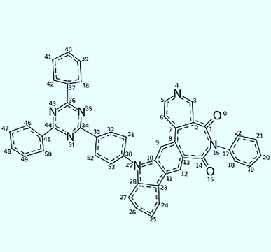 O=c1c2cnccc2c2cc3c(cc2c(=O)n1-c1ccccc1)c1ccccc1n3-c1ccc(-c2nc(-c3ccccc3)nc(-c3ccccc3)n2)cc1